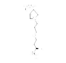 CCNC(=O)CCOCCCN1CC[C@@H](COC)C1